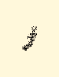 O=C(OCc1ccccc1)N1CC[C@@H]2C[C@@H]1c1ccc(N3CCN(Cc4ccc5c(c4)OCO5)CC3)cc12